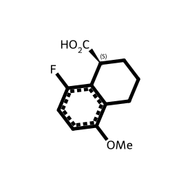 COc1ccc(F)c2c1CCC[C@@H]2C(=O)O